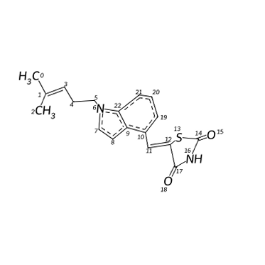 CC(C)=CCCn1ccc2c(/C=C3\SC(=O)NC3=O)cccc21